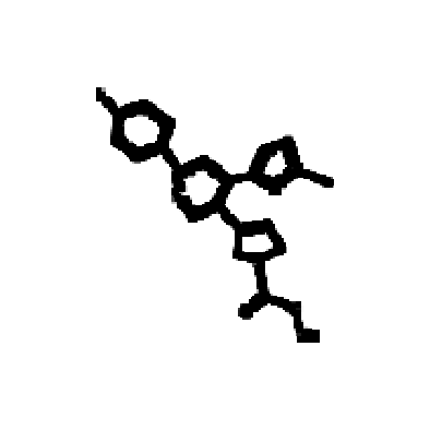 Cn1ccc(-c2cc(-c3ccc(F)cc3)ncc2C2=CCN(C(=O)OC(C)(C)C)C2)n1